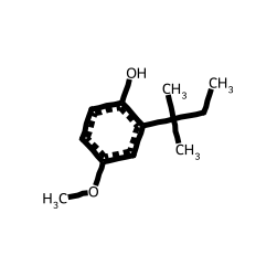 CCC(C)(C)c1cc(OC)ccc1O